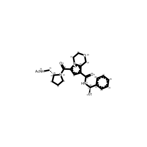 CC[C@@H](NC(=O)c1cc(C(=O)N2CCC[C@@H]2CNC(C)=O)n2c1COCC2)c1ccccc1